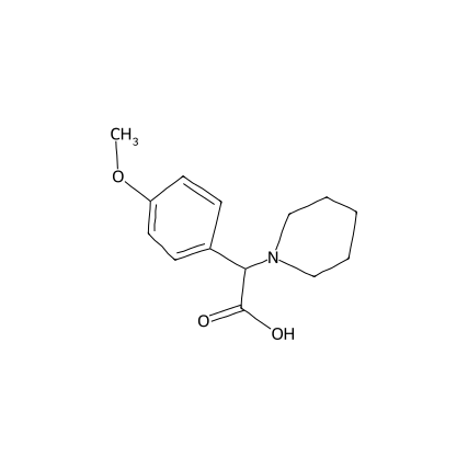 COc1ccc(C(C(=O)O)N2CCCCC2)cc1